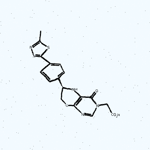 Cc1nnc(-c2ccc([C@@H]3COc4ncn(CC(=O)O)c(=O)c4N3)cc2)s1